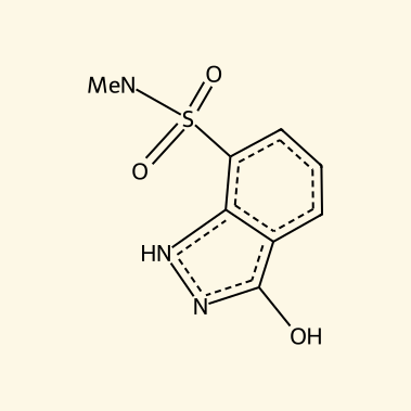 CNS(=O)(=O)c1cccc2c(O)n[nH]c12